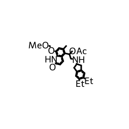 CCc1cc2c(cc1CC)CC(NCC(OC(C)=O)c1c(C)cc(OCOC)c3[nH]c(=O)ccc13)C2